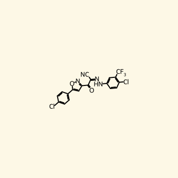 N#CC(=NNc1ccc(Cl)c(C(F)(F)F)c1)C(=O)c1cc(-c2ccc(Cl)cc2)on1